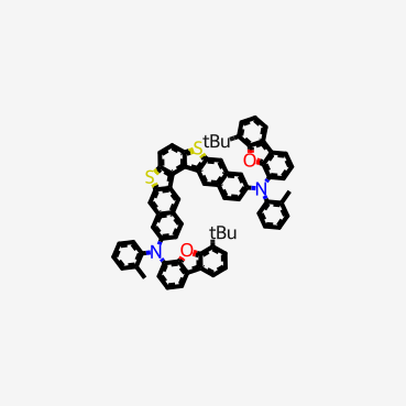 Cc1ccccc1N(c1ccc2cc3c(cc2c1)sc1ccc2sc4cc5cc(N(c6ccccc6C)c6cccc7c6oc6c(C(C)(C)C)cccc67)ccc5cc4c2c13)c1cccc2c1oc1c(C(C)(C)C)cccc12